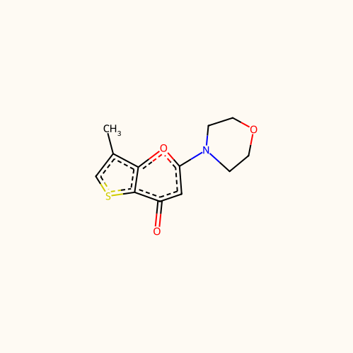 Cc1csc2c(=O)cc(N3CCOCC3)oc12